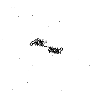 CC(C)(C)OC(=O)N(CCCCCCCCN(CCCN(Cc1cccc2ccccc12)C(=O)OC(C)(C)C)C(=O)OC(C)(C)C)CCCN(Cc1cccc2ccccc12)C(=O)OC(C)(C)C